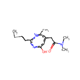 CCCCc1nc(C)c(CC(=O)N(C)C)c(O)n1